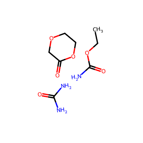 CCOC(N)=O.NC(N)=O.O=C1COCCO1